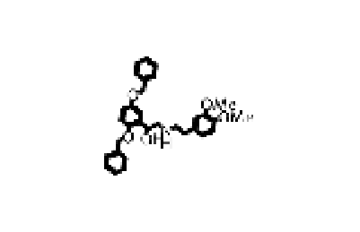 COc1ccc(CCNCC(O)c2cc(OCc3ccccc3)ccc2OCc2ccccc2)cc1OC